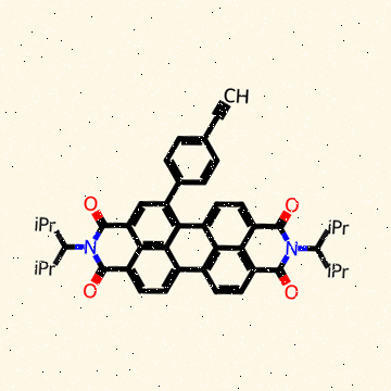 C#Cc1ccc(-c2cc3c4c(ccc5c6ccc7c8c(ccc(c2c45)c86)C(=O)N(C(C(C)C)C(C)C)C7=O)C(=O)N(C(C(C)C)C(C)C)C3=O)cc1